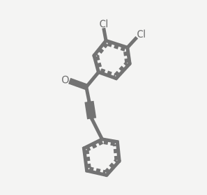 O=C(C#Cc1ccccc1)c1ccc(Cl)c(Cl)c1